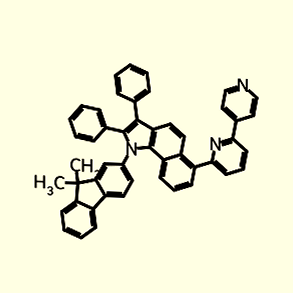 CC1(C)c2ccccc2-c2ccc(-n3c(-c4ccccc4)c(-c4ccccc4)c4ccc5c(-c6cccc(-c7ccncc7)n6)cccc5c43)cc21